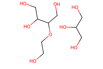 OCC(O)CO.OCCOC(CO)C(O)CO